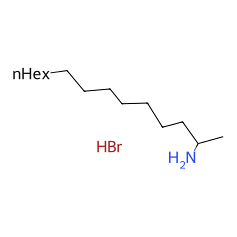 Br.CCCCCCCCCCCCCC(C)N